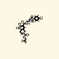 O=C(NC/C=C/S(=O)(=O)c1ccc(Cl)cc1)c1cc2c([nH]c1=O)CCN(C(=O)OCC(F)F)C2